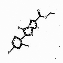 CCOC(=O)c1cn2c(I)c(-c3ccc(F)cc3F)nc2o1